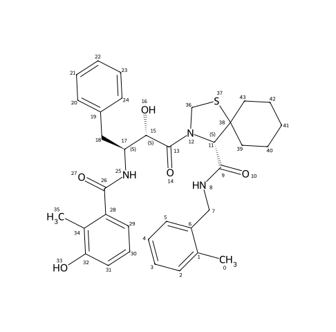 Cc1ccccc1CNC(=O)[C@@H]1N(C(=O)[C@@H](O)[C@H](Cc2ccccc2)NC(=O)c2cccc(O)c2C)CSC12CCCCC2